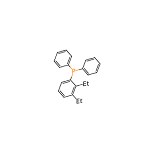 CCc1cccc(P(c2ccccc2)c2ccccc2)c1CC